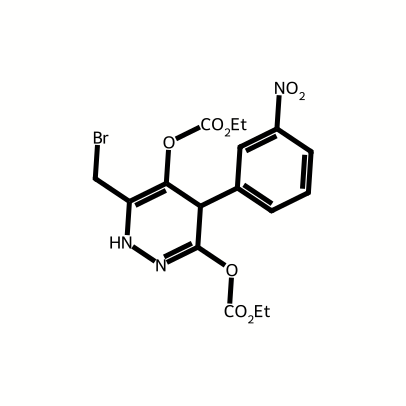 CCOC(=O)OC1=NNC(CBr)=C(OC(=O)OCC)C1c1cccc([N+](=O)[O-])c1